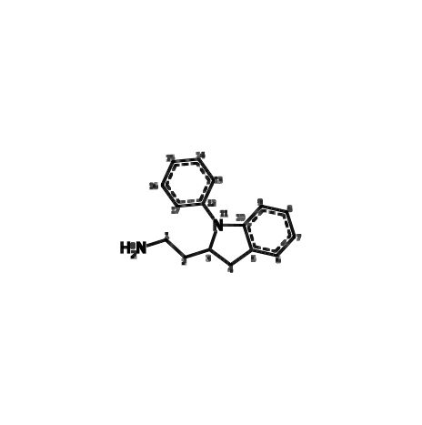 NCCC1Cc2ccccc2N1c1ccccc1